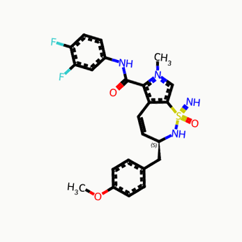 COc1ccc(C[C@H]2C=Cc3c(cn(C)c3C(=O)Nc3ccc(F)c(F)c3)S(=N)(=O)N2)cc1